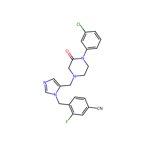 N#Cc1ccc(Cn2cncc2CN2CCN(c3cccc(Cl)c3)C(=O)C2)c(F)c1